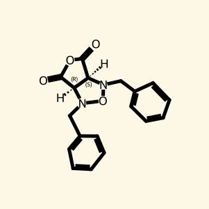 O=C1OC(=O)[C@H]2[C@@H]1N(Cc1ccccc1)ON2Cc1ccccc1